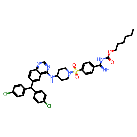 CCCCCCOC(=O)NC(=N)c1ccc(S(=O)(=O)N2CCC(Nc3ncnc4ccc(C(c5ccc(Cl)cc5)c5ccc(Cl)cc5)cc34)CC2)cc1